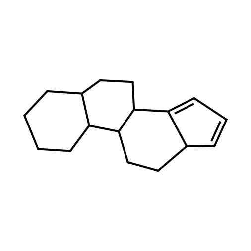 C1=CC2CCC3C(CCC4CCCCC43)C2=C1